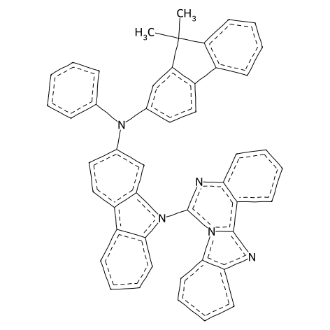 CC1(C)c2ccccc2-c2ccc(N(c3ccccc3)c3ccc4c5ccccc5n(-c5nc6ccccc6c6nc7ccccc7n56)c4c3)cc21